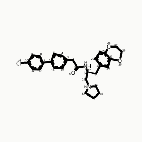 O=C(Cc1ccc(-c2ccc(Cl)cc2)cc1)N[C@@H](Cc1ccc2c(c1)OCCO2)CN1CCCC1